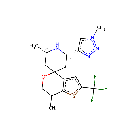 CC1COC2(C[C@@H](c3cn(C)nn3)N[C@@H](C)C2)c2cc(C(F)(F)F)sc21